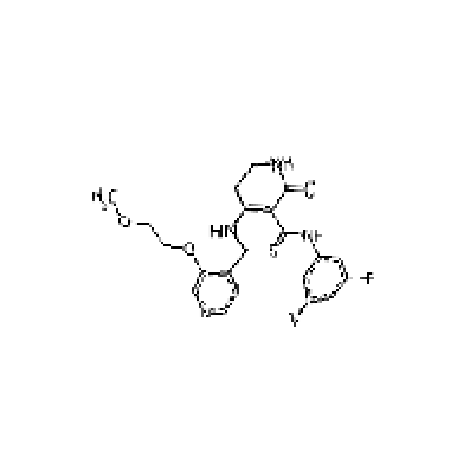 COCCOc1cnccc1CNC1=C(C(=S)Nc2cc(F)cc(F)c2)C(=O)NCC1